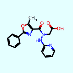 Cc1oc(-c2ccccc2)nc1C(=O)N(CC(=O)O)Nc1ccccn1